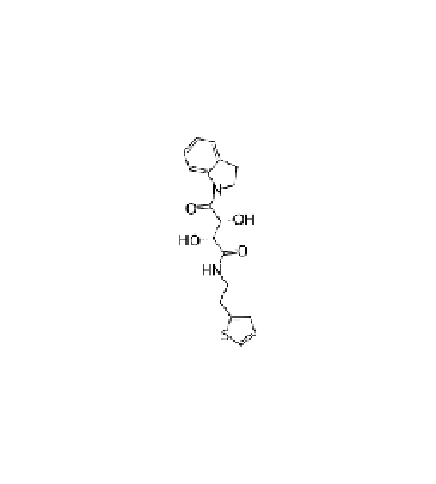 O=C(NCCc1cccs1)[C@H](O)[C@@H](O)C(=O)N1CCc2ccccc21